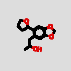 CC(O)Cc1cc2c(cc1C1CCCO1)OCO2